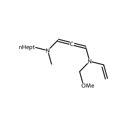 C=CN(C=C=CN(C)CCCCCCC)COC